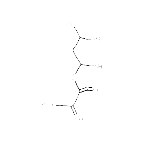 C=C(C(=O)O)C(=O)OC(S)CC(S)CC